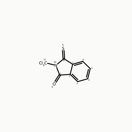 O=C1c2ccccc2C(=S)N1C(Cl)(Cl)Cl